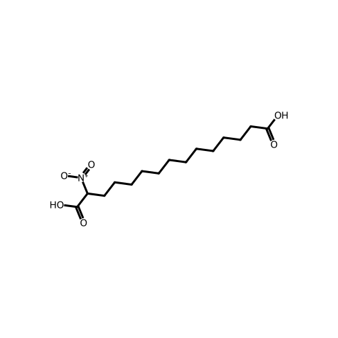 O=C(O)CCCCCCCCCCCCC(C(=O)O)[N+](=O)[O-]